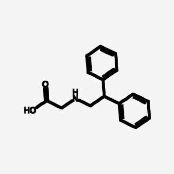 O=C(O)CNCC(c1ccccc1)c1ccccc1